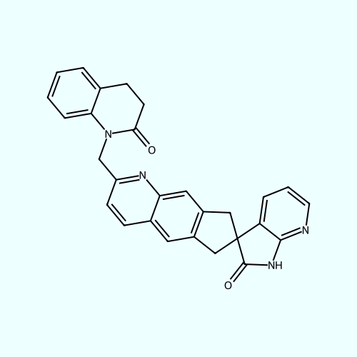 O=C1CCc2ccccc2N1Cc1ccc2cc3c(cc2n1)CC1(C3)C(=O)Nc2ncccc21